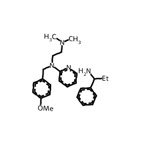 CCC(N)c1ccccc1.COc1ccc(CN(CCN(C)C)c2ccccn2)cc1